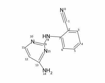 N#Cc1ccccc1Nc1nccc(N)n1